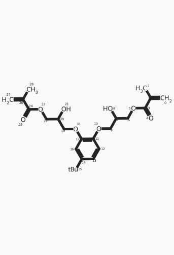 C=C(C)C(=O)OCC(O)COc1ccc(C(C)(C)C)cc1OCC(O)COC(=O)C(=C)C